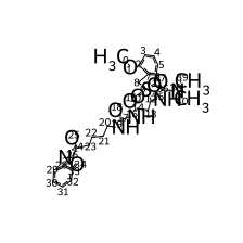 COc1ccccc1CS(=O)(=O)C(CC(=O)NC(=O)NCCCCC(=O)c1nc2ccccc2o1)NC(=O)N(C)C